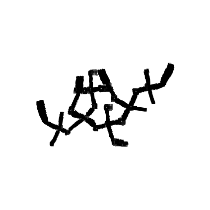 C#[Si]O[Si](C)(O[Si](C)(C)C=C)O[Si](O)(OC)O[Si](O[Si]#C)(O[Si](C)(C)C=C)O[Si](O)(OC)OC